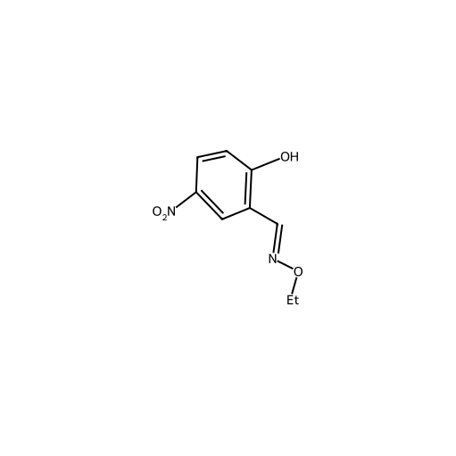 CCON=Cc1cc([N+](=O)[O-])ccc1O